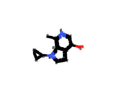 Cc1ncc(O)c2ccn(C3CC3)c12